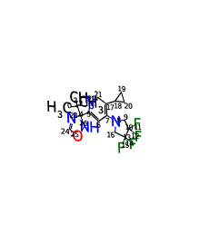 CC(C)(C)C1(c2cc(N3CC(F)(F)C(F)(F)C3)c(C3CC3)cn2)N=CON1